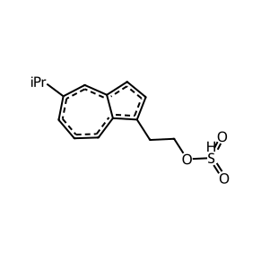 CC(C)c1cccc2c(CCO[SH](=O)=O)ccc-2c1